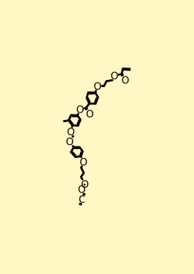 C=C=COOCCCOc1ccc(OCOc2ccc(OC(=O)c3ccc(OCCCOC(=O)C=C)cc3)cc2C)cc1